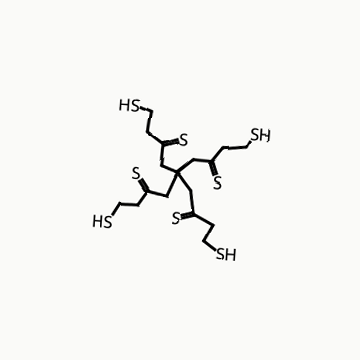 S=C(CCS)CC(CC(=S)CCS)(CC(=S)CCS)CC(=S)CCS